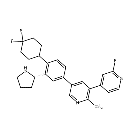 Nc1ncc(-c2ccc(C3CCC(F)(F)CC3)c([C@@H]3CCCN3)c2)cc1-c1ccnc(F)c1